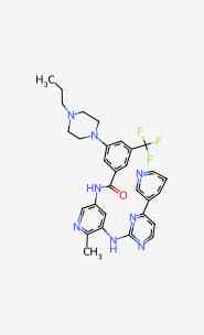 CCCN1CCN(c2cc(C(=O)Nc3cnc(C)c(Nc4nccc(-c5cccnc5)n4)c3)cc(C(F)(F)F)c2)CC1